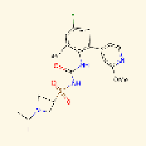 COc1cc(-c2cc(F)cc(C(C)C)c2NC(=O)NS(=O)(=O)C2CN(C(C)I)C2)ccn1